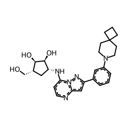 OC[C@H]1C[C@@H](Nc2ccnc3cc(-c4cccc(N5CCC6(CCC6)CC5)c4)nn23)[C@H](O)[C@@H]1O